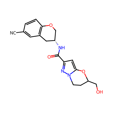 N#Cc1ccc2c(c1)C[C@@H](NC(=O)c1cc3n(n1)CCC(CO)O3)CO2